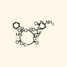 C[C@@H]1NP(=O)(Oc2ccccc2)OC[C@H]2O[C@@H](n3ccc(N)nc3=O)C(F)(F)[C@@H]2OC(=O)CCCOC1=O